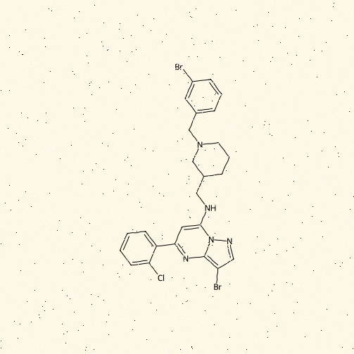 Clc1ccccc1-c1cc(NCC2CCCN(Cc3cccc(Br)c3)C2)n2ncc(Br)c2n1